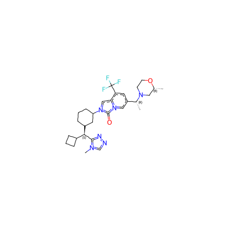 C[C@@H]1CN([C@H](C)c2cc(C(F)(F)F)c3cn(C4CCCC([C@@H](c5nncn5C)C5CCC5)C4)c(=O)n3c2)CCO1